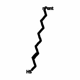 CCCCCCCCCCCC=CCS